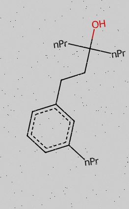 CCCc1cccc(CCC(O)(CCC)CCC)c1